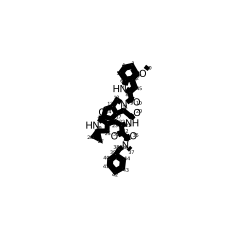 COc1cccc2[nH]c(C(=O)N3CC4CCCC4C3C(=O)NC(CC3CC4(CC4)NC3=O)C(=O)C(=O)N(C)Cc3ccccc3)cc12